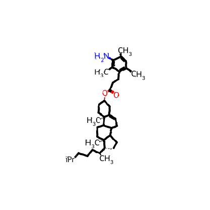 Cc1cc(C)c(CCC(=O)O[C@H]2CC[C@@]3(C)C(=CCC4C3CC[C@@]3(C)C4CC[C@@H]3[C@H](C)CCCC(C)C)C2)c(C)c1N